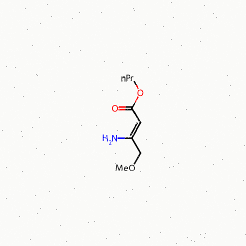 CCCOC(=O)/C=C(\N)COC